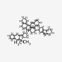 CC1(C)c2ccc(N(c3ccc(-c4ccc5c(c4)sc4ccccc45)cc3)c3ccc4ccccc4c3-c3ccc4ccccc4c3)cc2-c2cc3ccccc3cc21